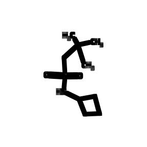 CC(C)(C)CS(=O)(=O)NC1CCC1